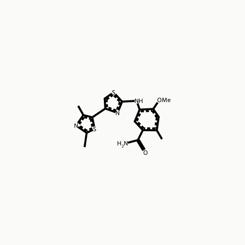 COc1cc(C)c(C(N)=O)cc1Nc1nc(-c2sc(C)nc2C)cs1